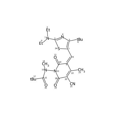 CCN(CC)c1nc(C(C)(C)C)c(/C=C2\C(=O)N(N(C)C(=O)C(C)(C)C)C(=O)C(C#N)=C2C)s1